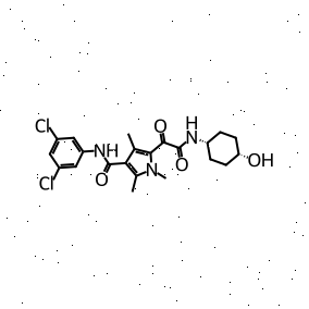 Cc1c(C(=O)Nc2cc(Cl)cc(Cl)c2)c(C)n(C)c1C(=O)C(=O)N[C@H]1CC[C@@H](O)CC1